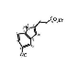 [C-]#[N+]c1ccc2[nH]c(CCC(=O)OCC)cc2c1